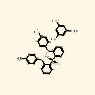 Nc1cc(N)cc(C(=O)O)c1.Nc1ccc(Oc2ccccc2S(=O)(=O)c2ccccc2Oc2ccc(N)cc2)cc1